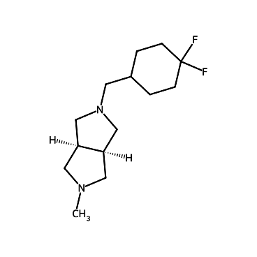 CN1C[C@@H]2CN(CC3CCC(F)(F)CC3)C[C@@H]2C1